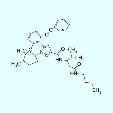 CCCCNC(=O)CC(NC(=O)c1cc(-c2c(OC)cccc2OCc2ccccc2)n(C2CCC(C)CC2)n1)C(C)C